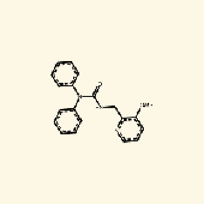 COc1cccnc1CNC(=O)N(c1ccccc1)c1ccccc1